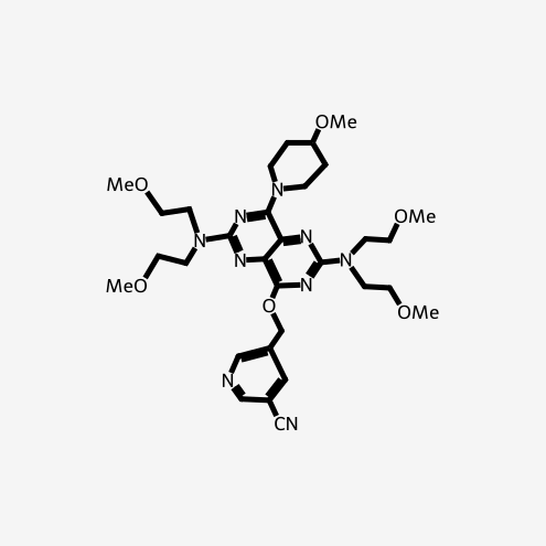 COCCN(CCOC)c1nc(N2CCC(OC)CC2)c2nc(N(CCOC)CCOC)nc(OCc3cncc(C#N)c3)c2n1